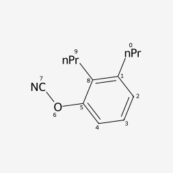 CCCc1cccc(OC#N)c1CCC